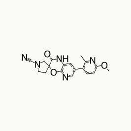 COc1ccc(-c2cnc3c(c2)NC(=O)C2(CCN(C#N)C2)O3)c(C)n1